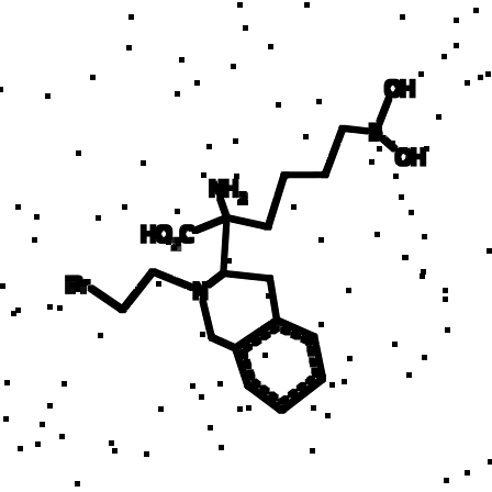 CC(C)CCN1Cc2ccccc2CC1C(N)(CCCCB(O)O)C(=O)O